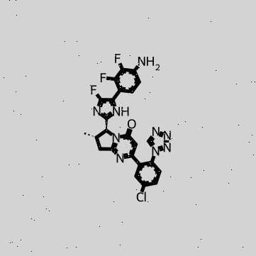 C[C@H]1Cc2nc(-c3cc(Cl)ccc3-n3cnnn3)cc(=O)n2[C@@H]1c1nc(F)c(-c2ccc(N)c(F)c2F)[nH]1